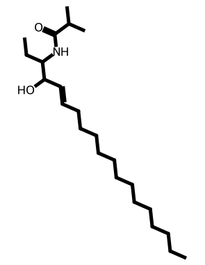 CCCCCCCCCCCCC/C=C/C(O)C(CC)NC(=O)C(C)C